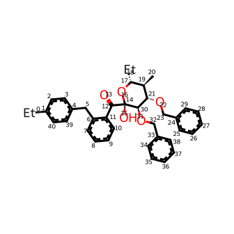 CCc1ccc(Cc2ccccc2C(=O)[C@]2(O)O[C@H](CC)[C@@H](C)[C@H](OCc3ccccc3)[C@H]2OCc2ccccc2)cc1